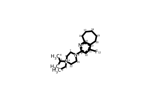 CC[N+]1(C(C)C)CCN(c2cc(F)c3c(n2)CCCCC3)CC1